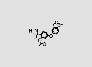 CB1OCc2cc(Oc3ccc(C(N)=O)c(OC(C)=O)c3)ccc21